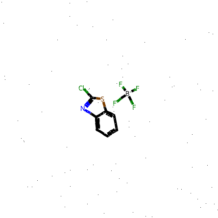 Clc1nc2ccccc2s1.F[B-](F)(F)F